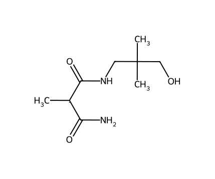 C[C](C(N)=O)C(=O)NCC(C)(C)CO